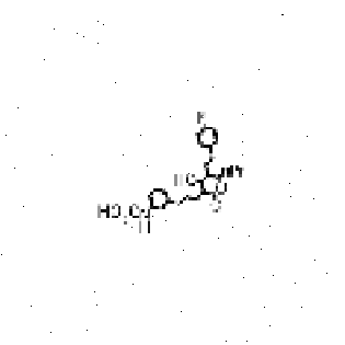 CCCC1OC(=O)C(CCCc2cccc(NC(=O)O)c2)=C(O)C1CCc1ccc(F)cc1